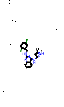 Cc1cc(Nc2nc(NCc3cc(F)ccc3F)nc3ccccc23)n[nH]1